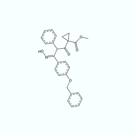 COC(=O)C1(C(=O)C(C(=NO)c2ccc(OCc3ccccc3)cc2)c2ccccc2)CC1